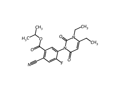 CCc1cc(=O)n(-c2cc(C(=O)OC(C)C)c(C#N)cc2F)c(=O)n1CC